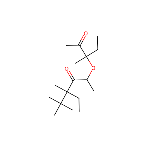 CCC(C)(OC(C)C(=O)C(C)(CC)C(C)(C)C)C(C)=O